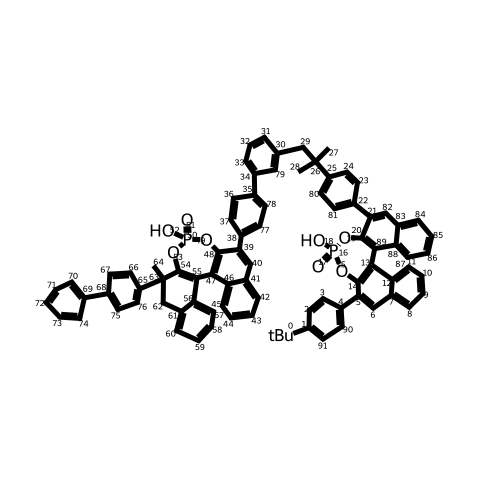 CC(C)(C)c1ccc(-c2cc3ccccc3c3c2OP(=O)(O)Oc2c(-c4ccc(C(C)(C)Cc5cccc(-c6ccc(-c7cc8ccccc8c8c7OP(=O)(O)OC7=C8c8ccccc8CC7(C)c7ccc(-c8ccccc8)cc7)cc6)c5)cc4)cc4ccccc4c2-3)cc1